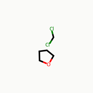 C1CCOC1.ClCCl